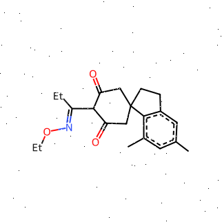 CCON=C(CC)C1C(=O)CC2(CCc3cc(C)cc(C)c32)CC1=O